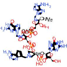 CO[C@H]1C(OP(=O)(O)OC[C@H]2CN(CC3=CCc4c(N)ncnc43)CC2OP(=O)(O)OC[C@H]2ON(Cn3cnc4c(=O)[nH]c(N)nc43)[C@@H](OC)C2OP(=O)(O)OC[C@H]2ON(Cn3cnc4c(N)ncnc43)[C@@H](OC)C2O)[C@@H](CO)O[C@H]1n1cnc2c(=O)[nH]c(N)nc21